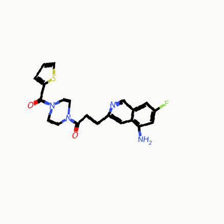 Nc1cc(F)cc2cnc(CCC(=O)N3CCN(C(=O)c4cccs4)CC3)cc12